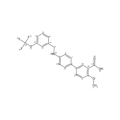 COc1cnc(-c2ccc(NCc3cccc(OC(F)(F)F)c3)nc2)cc1C(=O)O